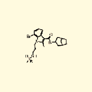 Cc1c(C(=O)NC2CC3CCC(C3)C2)c2cccc(Br)c2n1CCCNS(C)(=O)=O